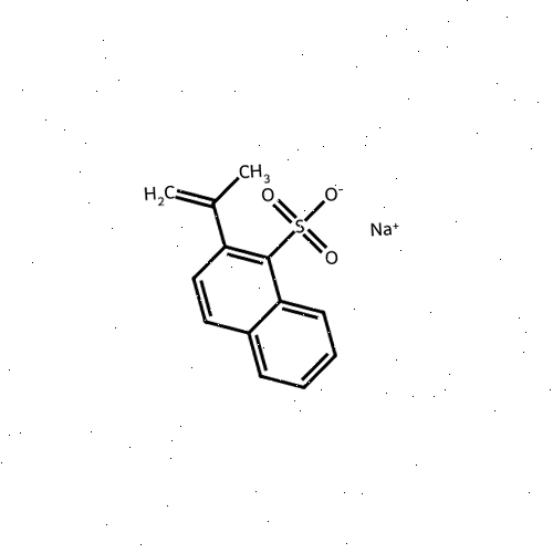 C=C(C)c1ccc2ccccc2c1S(=O)(=O)[O-].[Na+]